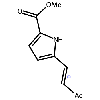 COC(=O)c1ccc(/C=C/C(C)=O)[nH]1